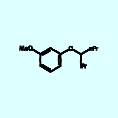 CCCC(Oc1cccc(OC)c1)C(C)C